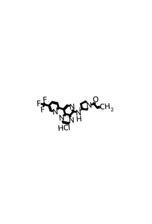 C=CC(=O)N1CC[C@H](Nc2ncc(-c3ccc(C(F)(F)F)cn3)c3nccnc23)C1.Cl